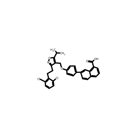 CC(C)c1onc(CCc2c(Cl)cccc2Cl)c1COc1ccc(-c2ccc3cccc(C(=O)O)c3c2)cc1